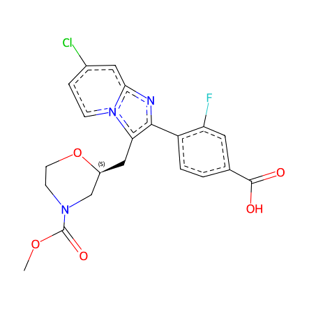 COC(=O)N1CCO[C@@H](Cc2c(-c3ccc(C(=O)O)cc3F)nc3cc(Cl)ccn23)C1